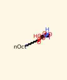 CCCCCCCC/C=C/CCCCCCCC(=O)OC[C@H]1O[C@@H](n2cc(I)c(=O)[nH]c2=O)C[C@@H]1O